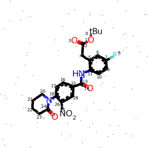 CC(C)(C)OC(=O)Cc1cc(F)ccc1NC(=O)c1ccc(N2CCCCC2=O)c([N+](=O)[O-])c1